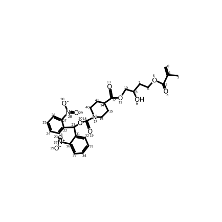 C=C(C)C(=O)OCCC(O)COC(=O)C1CCN(C(=O)OC(c2ccccc2[N+](=O)[O-])c2ccccc2[N+](=O)[O-])CC1